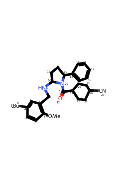 COc1ccc(C(C)(C)C)cc1CNC1CCC(c2ccccc2)N1C(=O)C1CCC(C#N)CC1